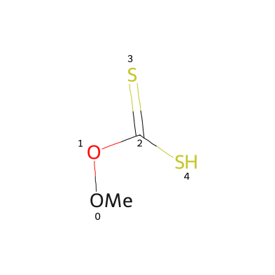 COOC(=S)S